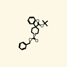 CC(C)(C)OC(=O)C1(c2ccccc2)CCN(C(=O)OCc2ccccc2)CC1